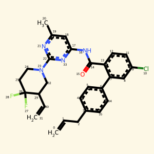 C=CCc1ccc(-c2cc(Cl)ccc2C(=O)Nc2cc(C)nc(N3CCC(F)(F)C(C=C)C3)n2)cc1